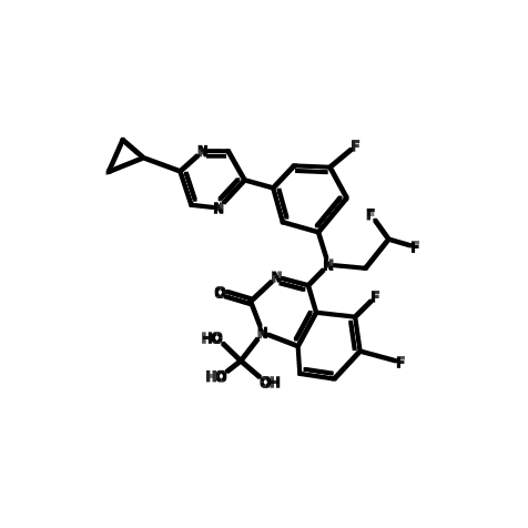 O=c1nc(N(CC(F)F)c2cc(F)cc(-c3cnc(C4CC4)cn3)c2)c2c(F)c(F)ccc2n1C(O)(O)O